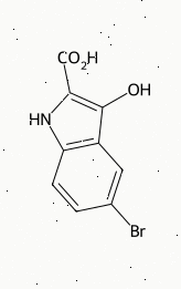 O=C(O)c1[nH]c2ccc(Br)cc2c1O